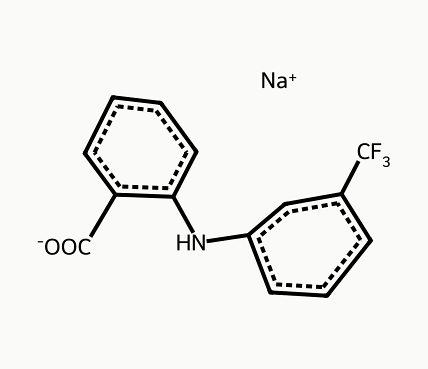 O=C([O-])c1ccccc1Nc1cccc(C(F)(F)F)c1.[Na+]